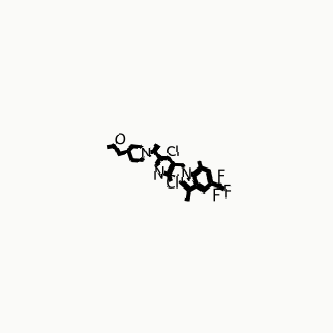 C=C(c1cnc(Cl)c(Cn2cc(C)c3cc(C(F)(F)F)cc(C)c32)c1Cl)N1CCC(CC(C)=O)CC1